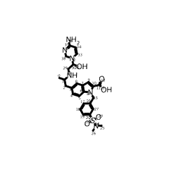 CC(Cc1ccc2c(c1)cc(C(=O)O)n2Cc1cccc(S(=O)(=O)N(C)C)c1)NCC(O)N1C=CC(N)=NC1